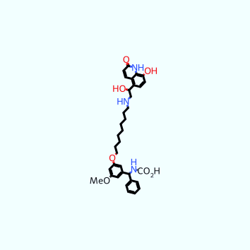 COc1cc(OCCCCCCCCCNCC(O)c2ccc(O)c3[nH]c(=O)ccc23)cc(C(NC(=O)O)c2ccccc2)c1